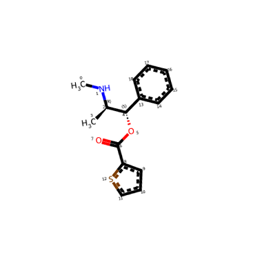 CN[C@H](C)[C@@H](OC(=O)c1cccs1)c1ccccc1